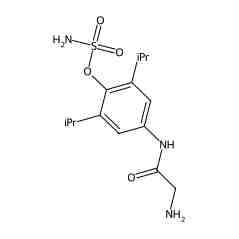 CC(C)c1cc(NC(=O)CN)cc(C(C)C)c1OS(N)(=O)=O